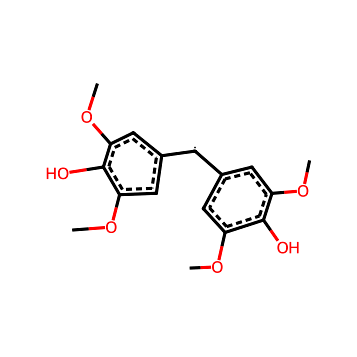 COc1cc([CH]c2cc(OC)c(O)c(OC)c2)cc(OC)c1O